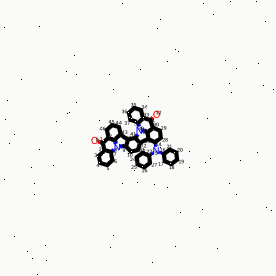 O=c1c2ccccc2n2c3ccc4c5c(N(c6ccccc6)c6ccccc6)ccc6c(=O)c7ccccc7n(c65)c4c3c3cccc1c32